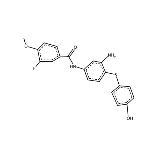 COc1ccc(C(=O)Nc2ccc(Sc3ccc(O)cc3)c(N)c2)cc1F